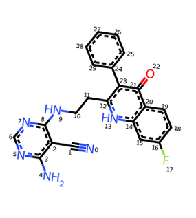 N#Cc1c(N)ncnc1NCCc1[nH]c2cc(F)ccc2c(=O)c1-c1ccccc1